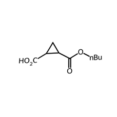 CCCCOC(=O)C1CC1C(=O)O